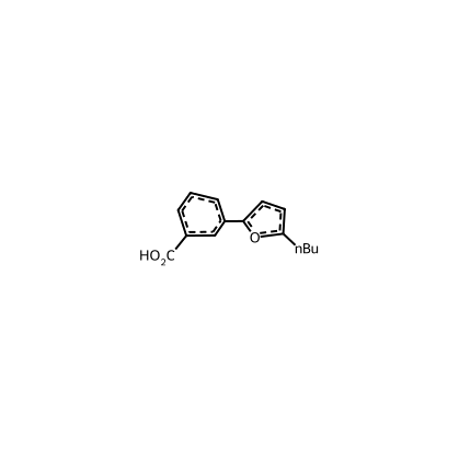 CCCCc1ccc(-c2cccc(C(=O)O)c2)o1